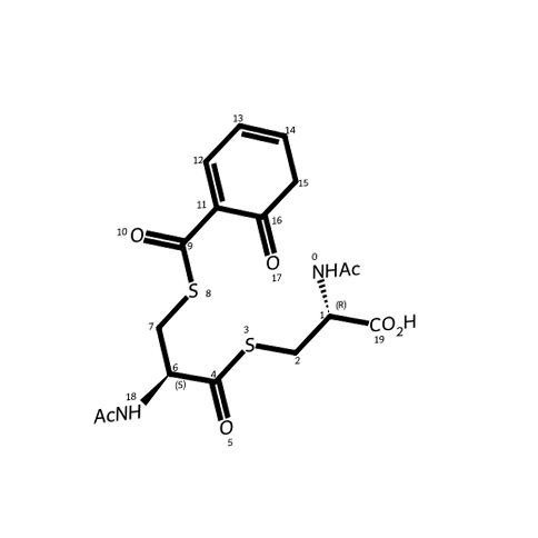 CC(=O)N[C@@H](CSC(=O)[C@H](CSC(=O)C1=CC=CCC1=O)NC(C)=O)C(=O)O